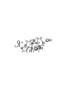 CC(=O)[C@H]1CC=C2[C@@H]3CC[C@H]4C[C@@H](O)CC[C@]4(CO)[C@H]3CC[C@@]21C